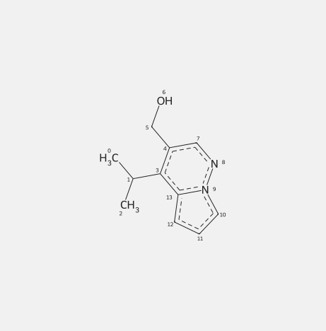 CC(C)c1c(CO)cnn2cccc12